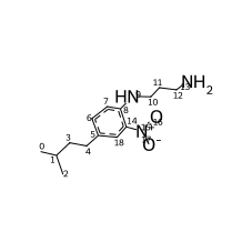 CC(C)CCc1ccc(NCCCN)c([N+](=O)[O-])c1